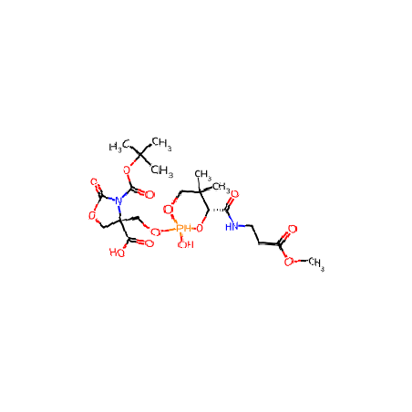 COC(=O)CCNC(=O)[C@@H]1O[PH](O)(OC[C@@]2(C(=O)O)COC(=O)N2C(=O)OC(C)(C)C)OCC1(C)C